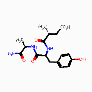 C[C@H](CC(=O)O)C(=O)NC(Cc1ccc(O)cc1)C(=O)N[C@H](C)C(N)=O